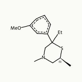 CCC1(c2cccc(OC)c2)CN(C)C[C@H](C)S1